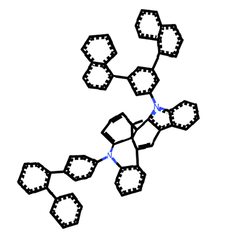 CC1C=CC=C2N(c3ccc(-c4ccccc4-c4ccccc4)cc3)c3ccccc3C3=Cc4c(n(-c5cc(-c6cccc7ccccc67)cc(-c6cccc7ccccc67)c5)c5ccccc45)C(C)C321